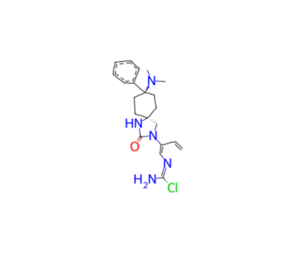 C=C/C(=C\N=C(/N)Cl)N1C[C@]2(CC[C@](c3ccccc3)(N(C)C)CC2)NC1=O